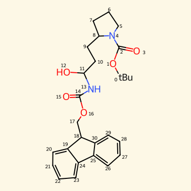 CC(C)(C)OC(=O)N1CCCC1CCC(O)NC(=O)OCC1c2ccccc2-c2ccccc21